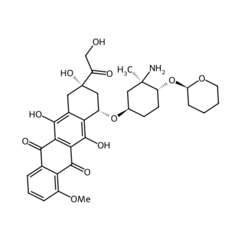 COc1cccc2c1C(=O)c1c(O)c3c(c(O)c1C2=O)C[C@@](O)(C(=O)CO)C[C@@H]3O[C@@H]1CC[C@@H](O[C@@H]2CCCCO2)[C@](C)(N)C1